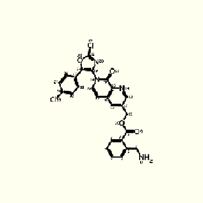 NCc1ccccc1C(=O)OCc1cnc2c(=O)n(-c3nc(Cl)oc3-c3ccc(Cl)cc3)ccc2c1